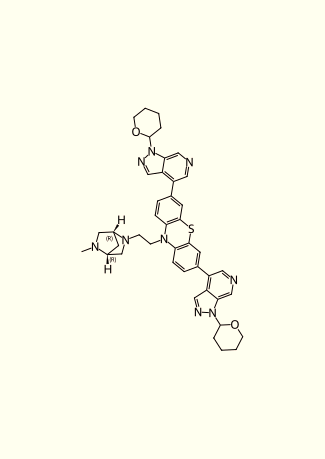 CN1C[C@H]2C[C@@H]1CN2CCN1c2ccc(-c3cncc4c3cnn4C3CCCCO3)cc2Sc2cc(-c3cncc4c3cnn4C3CCCCO3)ccc21